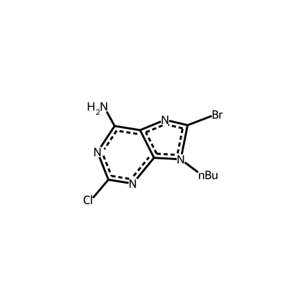 CCCCn1c(Br)nc2c(N)nc(Cl)nc21